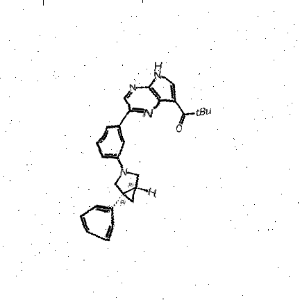 CC(C)(C)C(=O)c1c[nH]c2ncc(-c3cccc(N4C[C@@H]5C[C@@]5(c5ccccc5)C4)c3)nc12